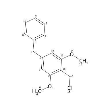 COc1cc(Cc2ccccc2)cc(OC)c1CCl